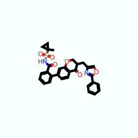 CC1(S(=O)(=O)NC(=O)c2ccccc2-c2ccc3c(c2)OCC(Cc2coc(-c4ccccc4)n2)C3=O)CC1